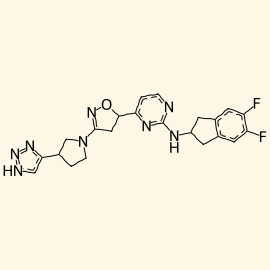 Fc1cc2c(cc1F)CC(Nc1nccc(C3CC(N4CCC(c5c[nH]nn5)C4)=NO3)n1)C2